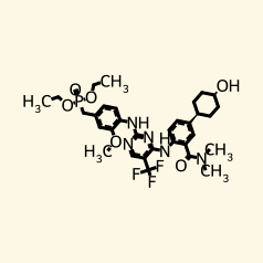 CCOP(=O)(Cc1ccc(Nc2ncc(C(F)(F)F)c(Nc3ccc([C@H]4CC[C@H](O)CC4)cc3C(=O)N(C)C)n2)c(OC)c1)OCC